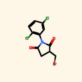 O=C1CC(CBr)C(=O)N1c1cc(Cl)ccc1Cl